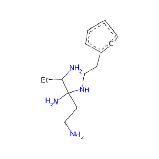 CCC(N)C(N)(CCN)NCCc1ccccc1